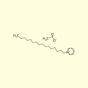 CC(=O)[O-].CCCCCCCCCCCCCCCC[n+]1ccccc1